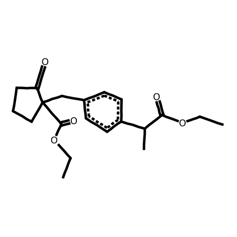 CCOC(=O)C(C)c1ccc(CC2(C(=O)OCC)CCCC2=O)cc1